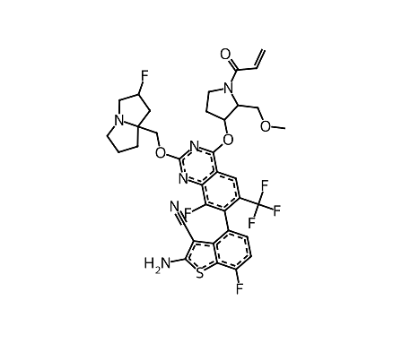 C=CC(=O)N1CCC(Oc2nc(OCC34CCCN3CC(F)C4)nc3c(F)c(-c4ccc(F)c5sc(N)c(C#N)c45)c(C(F)(F)F)cc23)C1COC